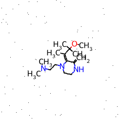 C=C1NCCN(CCN(C)C)/C1=C(\C)C(C)(C)OC